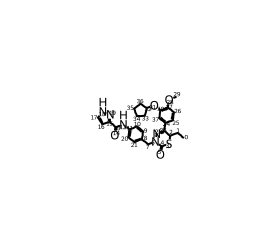 CCC1SC(=O)N(Cc2ccc(NC(=O)c3cc[nH]n3)cc2)N=C1c1ccc(OC)c(OC2CCCC2)c1